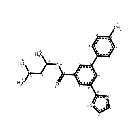 Cc1ccc(-c2cc(C(=O)NC(C)CN(C)C)cc(-c3nccs3)c2)cc1